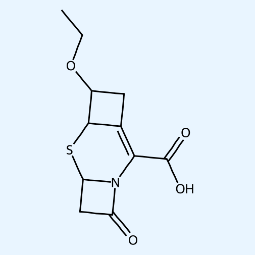 CCOC1CC2=C(C(=O)O)N3C(=O)CC3SC21